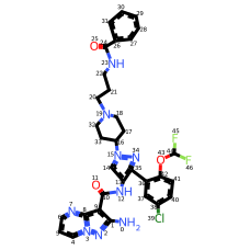 Nc1nn2cccnc2c1C(=O)Nc1cn(C2CCN(CCCNC(=O)c3ccccc3)CC2)nc1-c1cc(Cl)ccc1OC(F)F